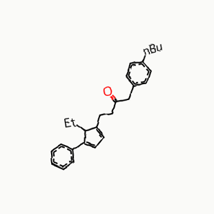 CCCCc1ccc(CC(=O)CCC2=CC=C(c3ccccc3)C2CC)cc1